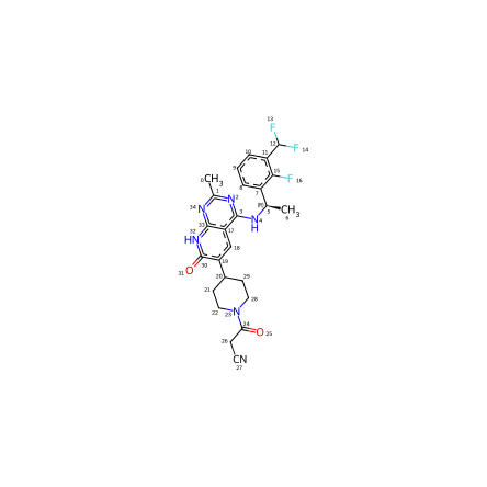 Cc1nc(N[C@H](C)c2cccc(C(F)F)c2F)c2cc(C3CCN(C(=O)CC#N)CC3)c(=O)[nH]c2n1